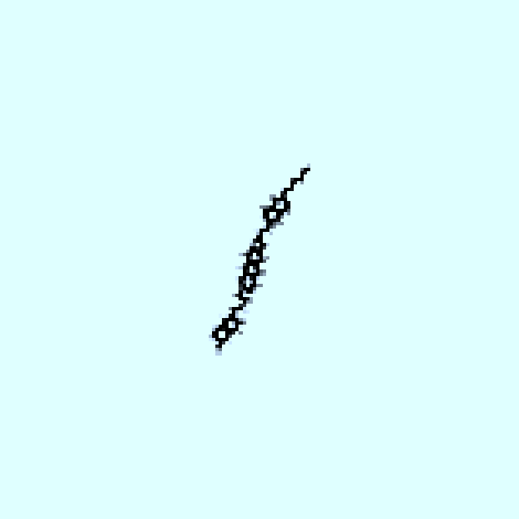 CCCCCCc1ccc2cc(/C=C/c3cc4cc5cc6cc7sc(/C=C/c8ccc9cc(C)ccc9c8)cc7cc6cc5cc4s3)ccc2c1